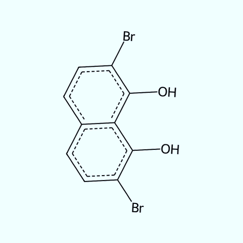 Oc1c(Br)ccc2ccc(Br)c(O)c12